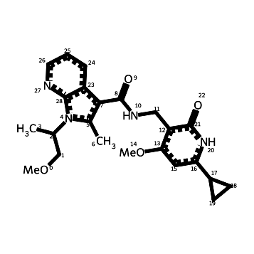 COCC(C)n1c(C)c(C(=O)NCc2c(OC)cc(C3CC3)[nH]c2=O)c2cccnc21